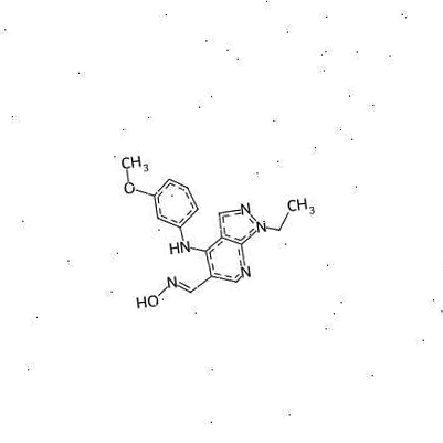 CCn1ncc2c(Nc3cccc(OC)c3)c(C=NO)cnc21